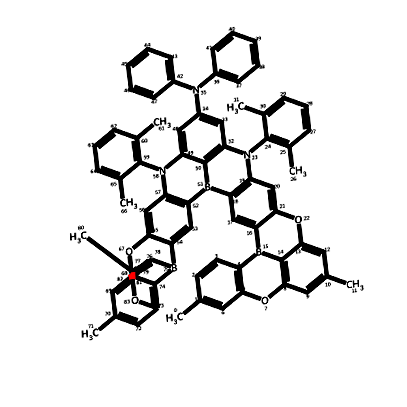 Cc1ccc2c(c1)Oc1cc(C)cc3c1B2c1cc2c(cc1O3)N(c1c(C)cccc1C)c1cc(N(c3ccccc3)c3ccccc3)cc3c1B2c1cc2c(cc1N3c1c(C)cccc1C)Oc1cc(C)cc3c1B2c1ccc(C)cc1O3